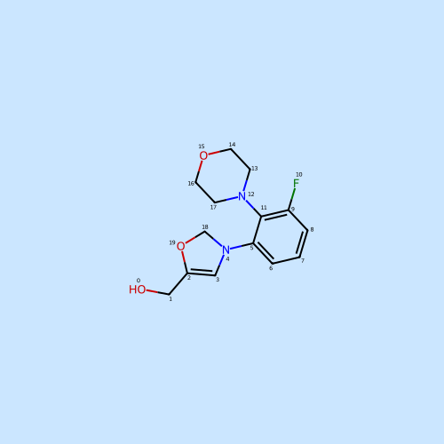 OCC1=CN(c2cccc(F)c2N2CCOCC2)CO1